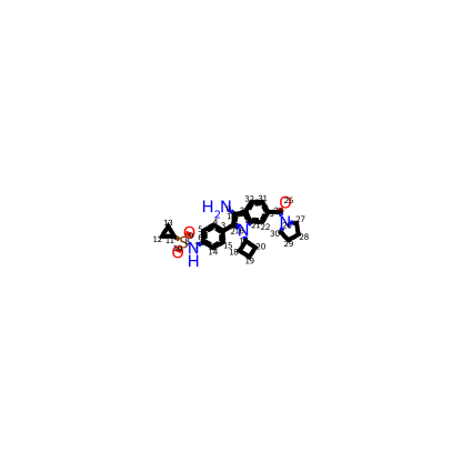 Nc1c(-c2ccc(NS(=O)(=O)C3CC3)cc2)n(C2CCC2)c2cc(C(=O)N3CCCC3)ccc12